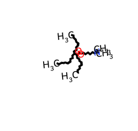 CCCCC/C=C\CCCC(CCC/C=C\CCCCC)C(CCC/C=C\CCCCC)C(=O)OCCCCCCN(C)C